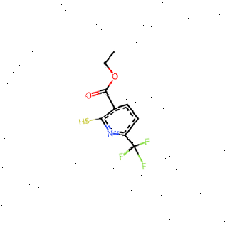 CCOC(=O)c1ccc(C(F)(F)F)nc1S